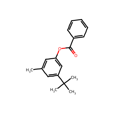 Cc1cc(OC(=O)c2ccccc2)cc(C(C)(C)C)c1